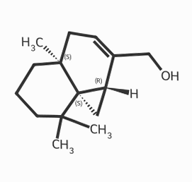 CC1(C)CCC[C@@]2(C)CC=C(CO)[C@@H]3C[C@]312